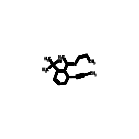 CC#CC1CC=CC(C(C)(C)C(C)C)=C1/C(C)=N/C=C\C